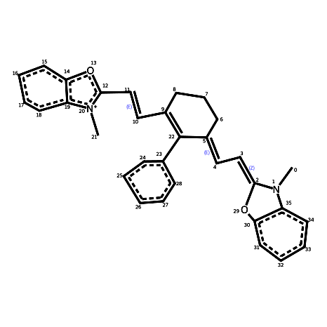 CN1/C(=C/C=C2\CCCC(/C=C/c3oc4ccccc4[n+]3C)=C2c2ccccc2)Oc2ccccc21